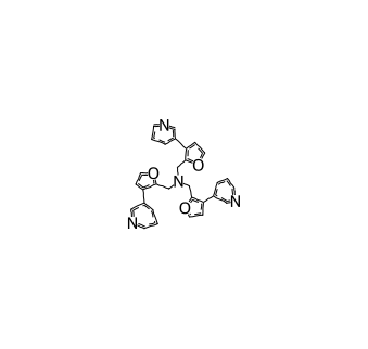 c1cncc(-c2ccoc2CN(Cc2occc2-c2cccnc2)Cc2occc2-c2cccnc2)c1